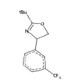 CC(C)(C)C1=NC(c2cccc(C(F)(F)F)c2)CO1